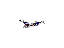 C/C=C/C1=CN2C(=O)c3cc(OC)c(OCCCOc4cc5c(cc4OC)C(=O)N4C=C(/C=C/C)CC4C=N5)cc3N=CC2C1